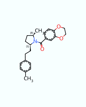 Cc1ccc(CC[C@H]2CC[C@@H](C)N2C(=O)c2ccc3c(c2)OCCO3)cc1